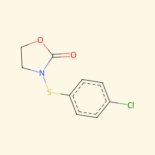 O=C1OCCN1Sc1ccc(Cl)cc1